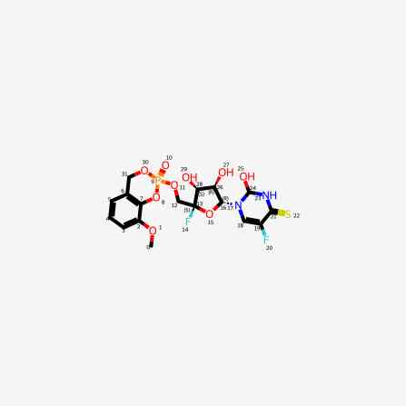 COc1cccc2c1OP(=O)(OC[C@@]1(F)O[C@@H](N3C=C(F)C(=S)NC3O)[C@H](O)[C@@H]1O)OC2